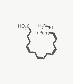 CCCCC/C=C\C/C=C\C/C=C\C/C=C\CCCC(=O)O.CCN